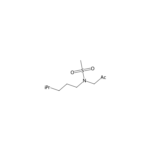 CC(=O)CN(CCCC(C)C)S(C)(=O)=O